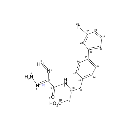 N=N/C(=N\N)C(=O)N[C@@H](CC(=O)O)Cc1ccc(-c2cccc(F)c2)cc1